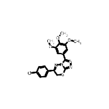 COc1cc(-c2nnc3n2N=C(c2ccc(Cl)cc2)CS3)cc(OC)c1OC